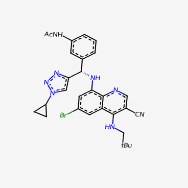 CC(=O)Nc1cccc([C@H](Nc2cc(Br)cc3c(NCC(C)(C)C)c(C#N)cnc23)c2cn(C3CC3)nn2)c1